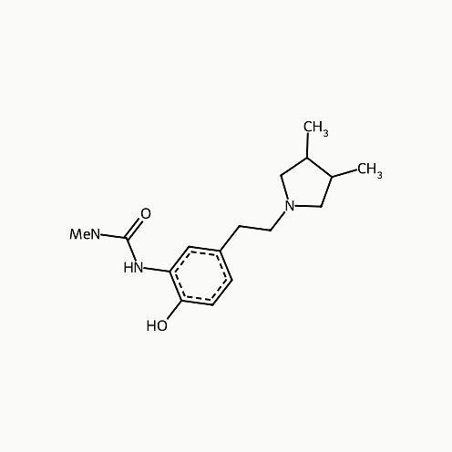 CNC(=O)Nc1cc(CCN2CC(C)C(C)C2)ccc1O